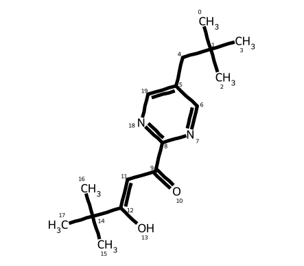 CC(C)(C)Cc1cnc(C(=O)/C=C(\O)C(C)(C)C)nc1